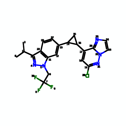 CC(C)c1nn(CC(F)(F)F)c2cc(C3CC3c3cc(Cl)nn4ccnc34)ccc12